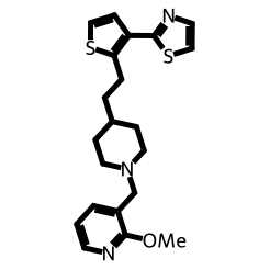 COc1ncccc1CN1CCC(CCc2sccc2-c2nccs2)CC1